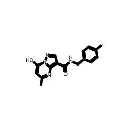 Cc1cc(O)n2ncc(C(=O)NCc3ccc(I)cc3)c2n1